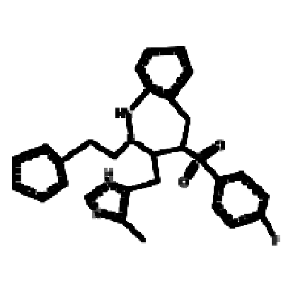 Cc1nc[nH]c1CC1C(S(=O)(=O)c2ccc(F)cc2)Cc2ccccc2NN1CCc1ccccc1